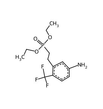 CCOP(=O)(CCc1cc(N)ccc1C(F)(F)F)OCC